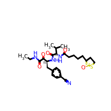 CCNC(=O)C(=O)[C@H](Cc1ccc(C#N)cc1)NC(=O)[C@@H](NC(=O)CCCCC1CCS[S+]1[O-])C(C)C